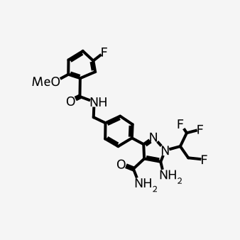 COc1ccc(F)cc1C(=O)NCc1ccc(-c2nn(C(CF)C(F)F)c(N)c2C(N)=O)cc1